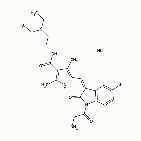 CCN(CC)CCNC(=O)c1c(C)[nH]c(/C=C2\C(=O)N(C(=O)CN)c3ccc(F)cc32)c1C.Cl